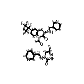 CC(=O)N1C(=O)N(NCc2cccnc2)Cc2cc(C(F)(C(F)(F)F)C(F)(F)F)ccc21.CC1=NNC(=O)N(/N=C/c2cccnc2)C1